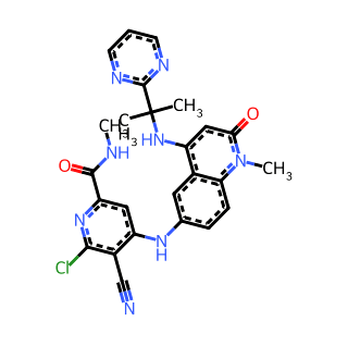 CNC(=O)c1cc(Nc2ccc3c(c2)c(NC(C)(C)c2ncccn2)cc(=O)n3C)c(C#N)c(Cl)n1